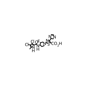 Cc1[nH]c(C(=O)N[C@@H]2CCN(c3nc(-c4cnccn4)c(C(=O)O)s3)C[C@@H]2F)c(Cl)c1Cl